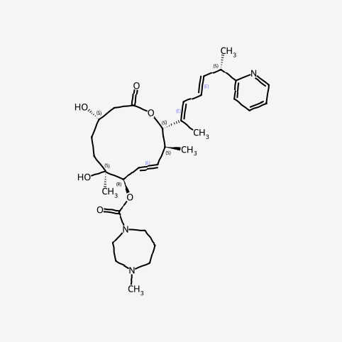 C/C(=C\C=C\[C@H](C)c1ccccn1)[C@H]1OC(=O)C[C@@H](O)CC[C@](C)(O)[C@H](OC(=O)N2CCCN(C)CC2)/C=C/[C@@H]1C